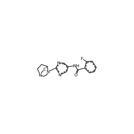 O=C(Nc1cnc(N2CCN3CCC2CC3)nc1)c1ccccc1F